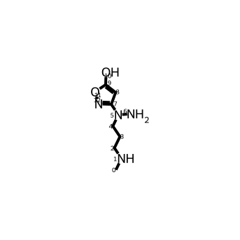 CNCCCN(N)c1cc(O)on1